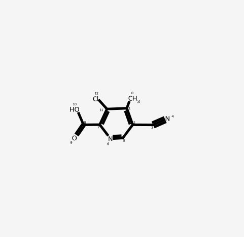 Cc1c(C#N)cnc(C(=O)O)c1Cl